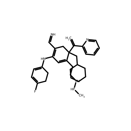 C=C(c1ccccn1)C1(CC2CCCCC2)CC(C=N)=C(NC2=CC=C(F)CC2)C=C1CCNPC